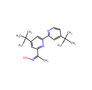 C/C(=N/O)c1cc(C(C)(C)C)cc(-c2cc(C(C)(C)C)ccn2)n1